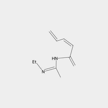 C=C/C=C\C(=C)N/C(C)=N\CC